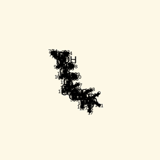 CCCCOC1C(OCCCC)[C@H](OCCCC)CO[C@H]1OC1C(OCCCC)[C@H](O[C@@H]2C3OC(C)(C)OC3[C@H](OC3C(OCCCC)[C@@H](OC(=O)C[C@H](C[C@H](OC(=O)C[C@H](C[C@H](O[C@@H]4O[C@@H](CO[Si](C)(C)C(C)(C)C)C(O[Si](C)(C)C(C)(C)C)C4O)[C@@H](C)CC)O[Si](C)(C)C(C)(C)C)[C@@H](C)CC)O[Si](C)(C)C(C)(C)C)[C@@H](C)O[C@@H]3OC)O[C@@H]2C)OC[C@H]1OCCCC